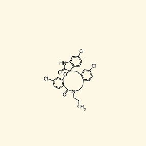 CCCN1CCc2ccc(Cl)cc2CC2(Oc3cc(Cl)ccc3C1=O)C(=O)Nc1cc(Cl)ccc12